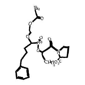 CC(O[PH](=O)C(CCCc1ccccc1)OCOC(=O)C(C)(C)C)C(=O)N1CCC[C@H]1C(=O)O